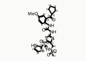 COc1ccc(NC(=O)Nc2nc(CNS(C)(=O)=O)c(S(=O)(=O)c3ncc[nH]3)s2)c(C(=O)C2CCCC2)c1